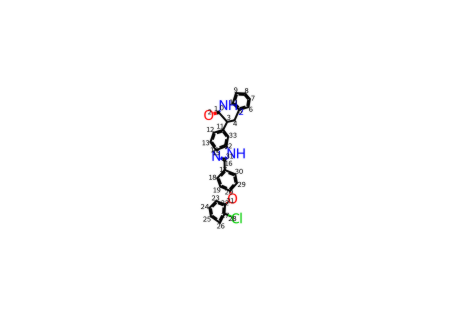 NC(=O)C(Cc1ccccc1)c1ccc2nc(-c3ccc(Oc4ccccc4Cl)cc3)[nH]c2c1